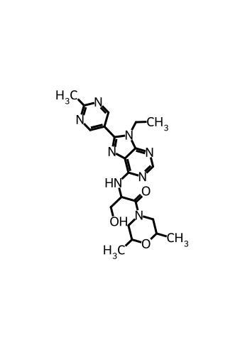 CCn1c(-c2cnc(C)nc2)nc2c(NC(CO)C(=O)N3CC(C)OC(C)C3)ncnc21